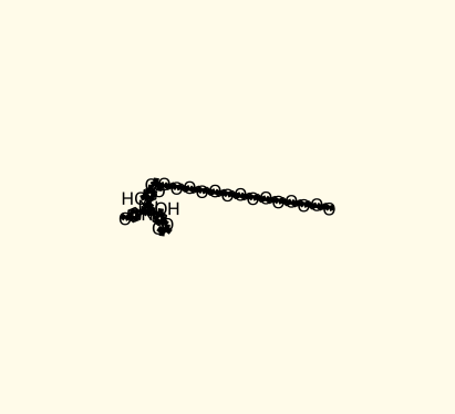 COCCOCCOCCOCCOCCOCCOCCOCCOCCOCCOCCOCCOCCOC(=O)C(C)Oc1ccc(-c2nc(-c3ccc(OC)cc3)nc(-c3ccc(OC(C)C(C)=O)cc3O)n2)c(O)c1